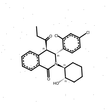 CCC(=O)[C@@H]1c2ccccc2C(=O)N([C@H]2CCCC[C@@H]2O)[C@H]1c1ccc(Cl)cc1Cl